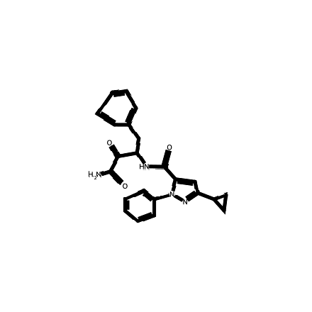 NC(=O)C(=O)C(Cc1ccccc1)NC(=O)c1cc(C2CC2)nn1-c1ccccc1